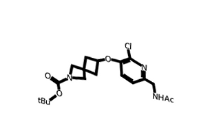 CC(=O)NCc1ccc(OC2CC3(C2)CN(C(=O)OC(C)(C)C)C3)c(Cl)n1